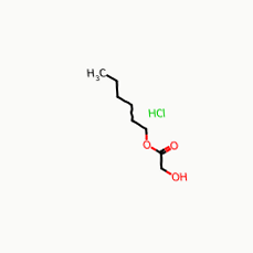 CCCCCCOC(=O)CO.Cl